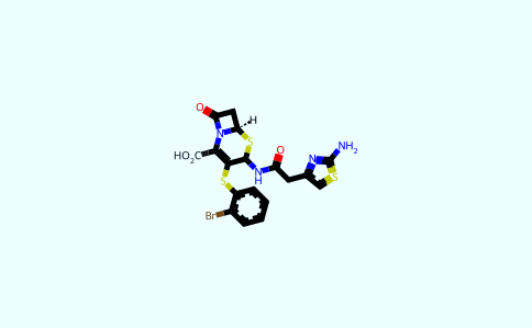 Nc1nc(CC(=O)NC2S[C@@H]3CC(=O)N3C(C(=O)O)=C2Sc2ccccc2Br)cs1